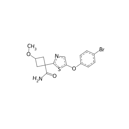 COC1CC(C(N)=O)(c2ncc(Oc3ccc(Br)cc3)s2)C1